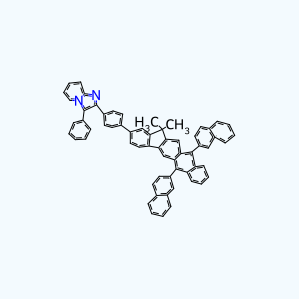 CC1(C)c2cc(-c3ccc(-c4nc5ccccn5c4-c4ccccc4)cc3)ccc2-c2cc3c(-c4ccc5ccccc5c4)c4ccccc4c(-c4ccc5ccccc5c4)c3cc21